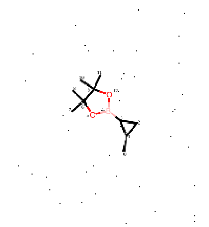 C[C@@H]1CC1B1OC(C)(C)C(C)(C)O1